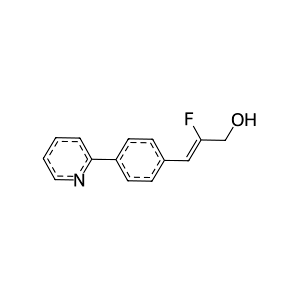 OC/C(F)=C/c1ccc(-c2ccccn2)cc1